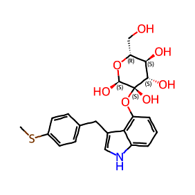 CSc1ccc(Cc2c[nH]c3cccc(O[C@]4(O)[C@@H](O)O[C@H](CO)[C@@H](O)[C@@H]4O)c23)cc1